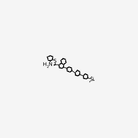 C=C(Sc1ccccc1N)c1ccc(-c2ccc(-c3ccc(-c4ccc([Si](C)(C)C)cc4)cc3)cc2)c2ccccc12